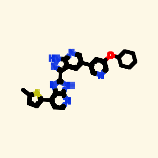 Cc1ccc(-c2ccnc3[nH]c(-c4n[nH]c5ncc(-c6cncc(OC7CCCCC7)c6)cc45)nc23)s1